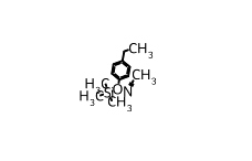 CC#N.CCc1ccc(O[Si](C)(C)C)cc1